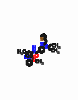 CCC(CC)n1c(Cc2cccs2)nc2cc(C(=O)N[C@@H](CC(C)C)C(=O)Nc3ccccc3OC)ccc21